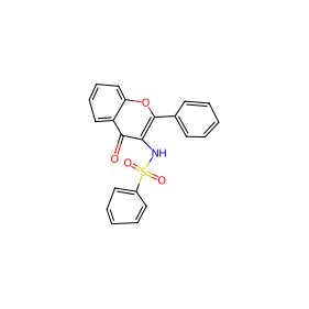 O=c1c(NS(=O)(=O)c2ccccc2)c(-c2ccccc2)oc2ccccc12